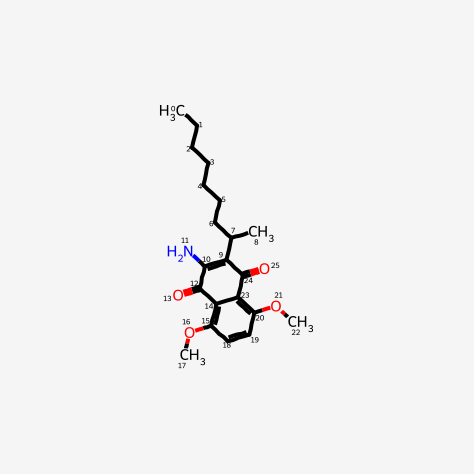 CCCCCCCC(C)C1=C(N)C(=O)c2c(OC)ccc(OC)c2C1=O